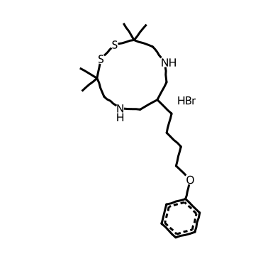 Br.CC1(C)CNCC(CCCCOc2ccccc2)CNCC(C)(C)SS1